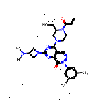 C=CC(=O)N1CCN(c2nc(N3CC(N(CC)CC)C3)nc3c(=O)n(-c4cc(C(F)(F)F)cc(C(F)(F)F)c4)ncc23)CC1CC#N